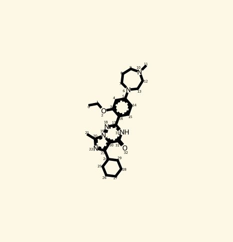 CCOc1cc(N2CCCN(C)CC2)ccc1-c1nn2c(C)nc(C3CCCCC3)c2c(=O)[nH]1